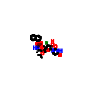 C=C[C@]1(COP(=O)(N[C@@H](C)C(=O)OC(C)C)Oc2cccc3ccccc23)O[C@@H](n2ccc(=O)[nH]c2=O)[C@H](O)[C@@H]1F